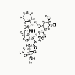 CCC[C@H](NC(=O)[C@@H]1C[C@]2(CC(c3cc(Cl)c(OC)cc3OC)=NO2)CN1C(=O)[C@@H](NC(=O)CC1CCCCCC1)C(C)(C)C)C(=O)C(=O)NC